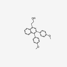 COc1ccc(-c2[c]c(CCO)c3ccccc3c2-c2ccc(OC)cc2)cc1